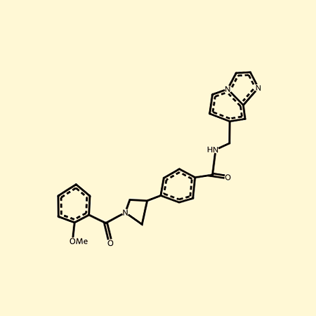 COc1ccccc1C(=O)N1CC(c2ccc(C(=O)NCc3ccn4ccnc4c3)cc2)C1